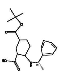 C[C@H](NC1CCC(C(=O)OC(C)(C)C)CC1C(=O)O)c1ccccc1